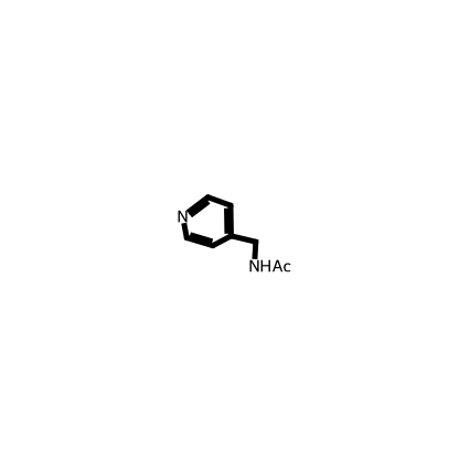 [CH2]C(=O)NCc1ccncc1